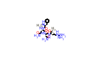 CN[C@@H](Cc1ccccc1)C(=O)N[C@@H](CCC(N)=O)C(=O)N[C@@H](CC(N)=O)C(=O)N[C@@H](CCCNC(N)N)C(C)=O